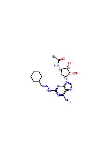 CCC(=O)N[C@H]1C[C@@H](n2cnc3c(N)nc(N/N=C/C4CCCCC4)nc32)[C@H](O)[C@@H]1O